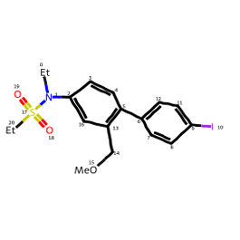 CCN(c1ccc(-c2ccc(I)cc2)c(COC)c1)S(=O)(=O)CC